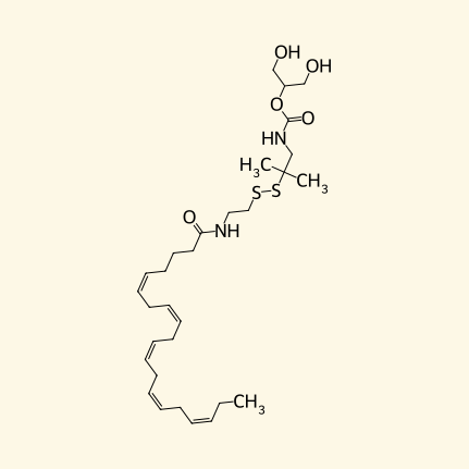 CC/C=C\C/C=C\C/C=C\C/C=C\C/C=C\CCCC(=O)NCCSSC(C)(C)CNC(=O)OC(CO)CO